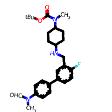 CN(C=O)c1ccc(-c2ccc(F)c(CNC3CCC(N(C)C(=O)OC(C)(C)C)CC3)c2)cc1